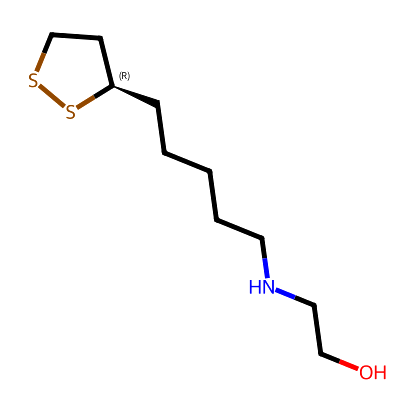 OCCNCCCCC[C@@H]1CCSS1